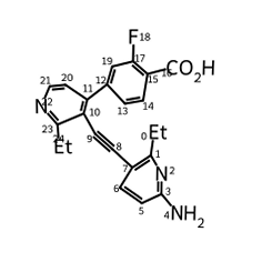 CCc1nc(N)ccc1C#Cc1c(-c2ccc(C(=O)O)c(F)c2)ccnc1CC